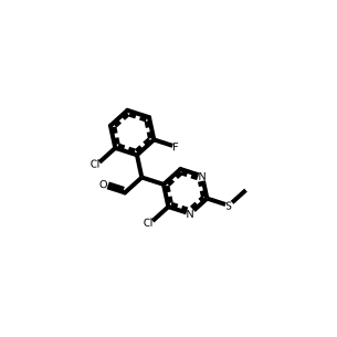 CSc1ncc(C(C=O)c2c(F)cccc2Cl)c(Cl)n1